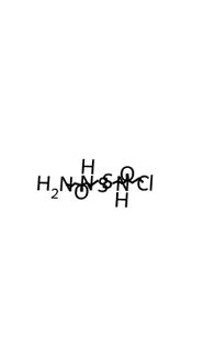 NCCC(=O)NCCSSCCNC(=O)CCCl